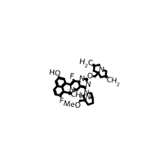 C#Cc1c(F)ccc2cc(O)cc(-c3ncc4c(N5CC6CCC(COC)(C5)N6)nc(OCC56CC(=C)CN5CC(=C)C6)nc4c3F)c12